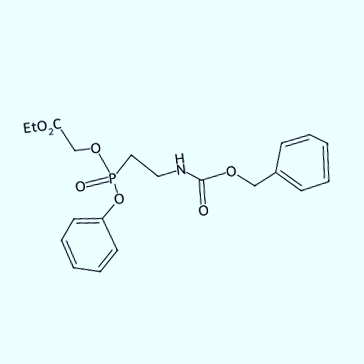 CCOC(=O)COP(=O)(CCNC(=O)OCc1ccccc1)Oc1ccccc1